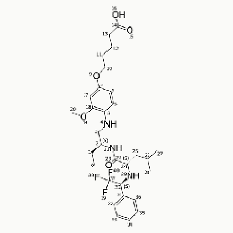 CC[C@@H](CNc1ccc(OCCCCC(=O)O)cc1OC)NC(=O)[C@H](CC(C)C)N[C@@H](c1ccccc1)C(F)(F)F